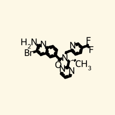 CC[C@H](c1ncccn1)N(Cc1ccc(C(F)F)cn1)C(=O)c1ccc2nc(N)c(Br)cc2c1